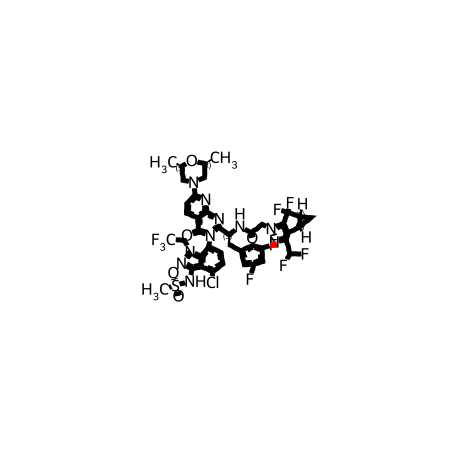 C[C@@H]1CN(c2ccc3c(=O)n(-c4ccc(Cl)c5c(NS(C)(=O)=O)nn(CC(F)(F)F)c45)c([C@H](Cc4cc(F)cc(F)c4)NC(=O)Cn4nc(C(F)F)c5c4C(F)(F)[C@@H]4C[C@H]54)nc3n2)C[C@H](C)O1